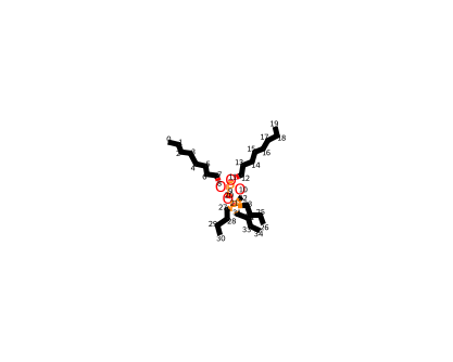 CCCCCCCCOP(=O)(OCCCCCCCC)OP(C)(CCCC)(CCCC)CCCC